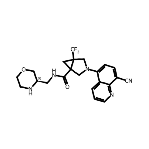 N#Cc1ccc(N2CC3(C(=O)NC[C@@H]4COCCN4)CC3(C(F)(F)F)C2)c2cccnc12